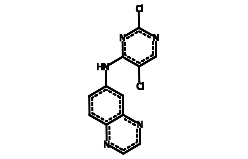 Clc1ncc(Cl)c(Nc2ccc3nccnc3c2)n1